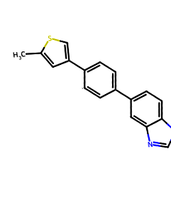 Cc1cc(-c2[c]cc(-c3ccc4[nH]cnc4c3)cc2)cs1